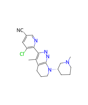 Cc1c(-c2ncc(C#N)cc2Cl)nnc2c1CCCN2[C@H]1CCCN(C)C1